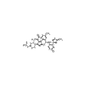 Cc1cc(C(C)Nc2ccc(Cl)nc2-c2ncn(C)n2)c2c(c1)c(=O)n(C)c1c2cnn1C1CCN(CC(F)F)CC1